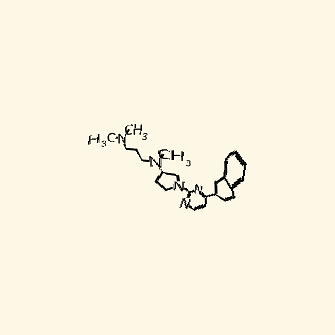 CN(C)CCCN(C)[C@H]1CCN(c2nccc(-c3ccc4ccccc4c3)n2)C1